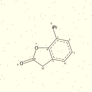 CC(C)c1cccc2c1OC(=O)C2